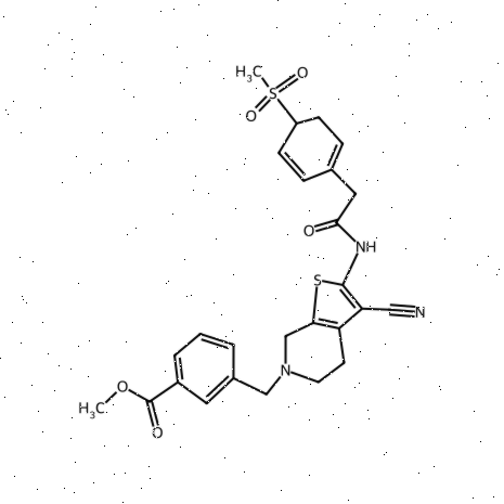 COC(=O)c1cccc(CN2CCc3c(sc(NC(=O)CC4=CCC(S(C)(=O)=O)C=C4)c3C#N)C2)c1